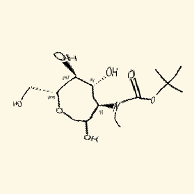 CN(C(=O)OC(C)(C)C)[C@H]1C(O)O[C@H](CO)[C@@H](O)[C@@H]1O